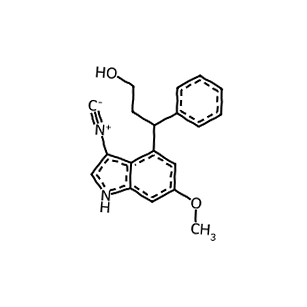 [C-]#[N+]c1c[nH]c2cc(OC)cc(C(CCO)c3ccccc3)c12